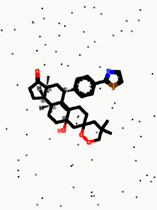 CC1(C)COOC2(CCC3=C4[C@@H](CC[C@@]3(O)C2)[C@@H]2CCC(=O)[C@@]2(C)C[C@@H]4c2ccc(-c3nccs3)cc2)C1